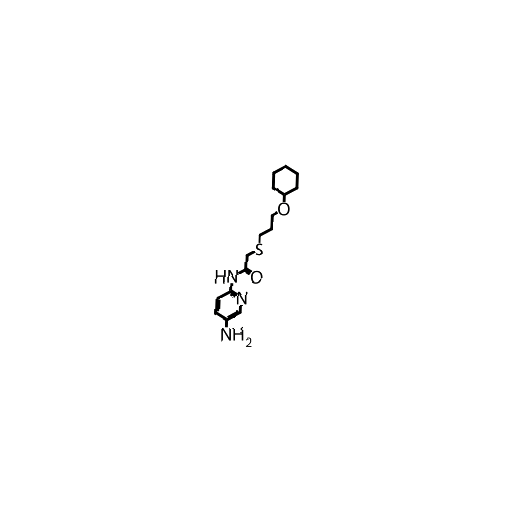 Nc1ccc(NC(=O)CSCCCOC2CCCCC2)nc1